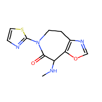 CNC1C(=O)N(c2nccs2)CCc2ncoc21